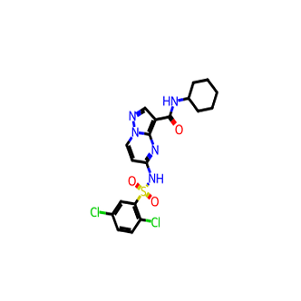 O=C(NC1CCCCC1)c1cnn2ccc(NS(=O)(=O)c3cc(Cl)ccc3Cl)nc12